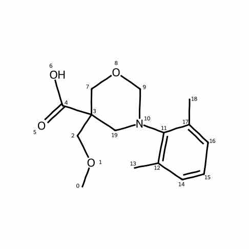 COCC1(C(=O)O)COCN(c2c(C)cccc2C)C1